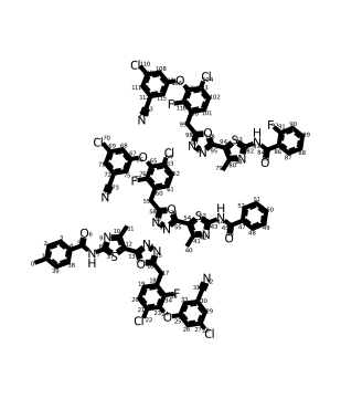 Cc1ccc(C(=O)Nc2nc(C)c(-c3nnc(Cc4ccc(Cl)c(Oc5cc(Cl)cc(C#N)c5)c4F)o3)s2)cc1.Cc1nc(NC(=O)c2ccccc2)sc1-c1nnc(Cc2ccc(Cl)c(Oc3cc(Cl)cc(C#N)c3)c2F)o1.Cc1nc(NC(=O)c2ccccc2F)sc1-c1nnc(Cc2ccc(Cl)c(Oc3cc(Cl)cc(C#N)c3)c2F)o1